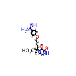 CCC(CCCCOc1ccc(C(=N)N)cc1)(CC(=O)O)N1CCNC(=O)C1=O